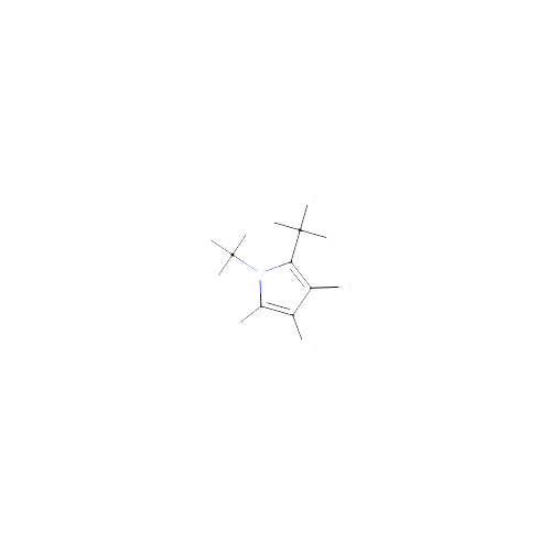 Cc1c(C)c(C(C)(C)C)n(C(C)(C)C)c1C